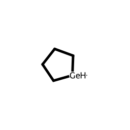 C1C[CH2][GeH][CH2]1